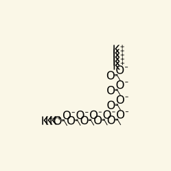 CC(=O)[O-].CC(=O)[O-].CC(=O)[O-].CC(=O)[O-].CC(=O)[O-].CC(=O)[O-].CC(=O)[O-].CC(=O)[O-].[K+].[K+].[K+].[K+].[K+].[K+].[K+].[K+]